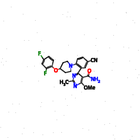 COc1nc(C)nc(-c2cc(C#N)ccc2N2CCC(Oc3ccc(F)cc3F)CC2)c1C(N)=O